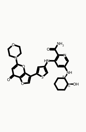 NC(=O)c1ncc(N[C@@H]2CCCC[C@@H]2O)cc1Nc1csc(-c2coc3c(=O)cc(N4CCOCC4)oc23)c1